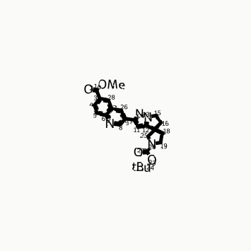 COC(=O)c1ccc2ncc(-c3cc4n(n3)CCC43CCN(C(=O)OC(C)(C)C)C3)cc2c1